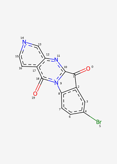 O=C1c2cc(Br)ccc2-n2c1nc1cnccc1c2=O